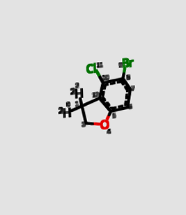 [2H]C1([2H])COc2ccc(Br)c(Cl)c21